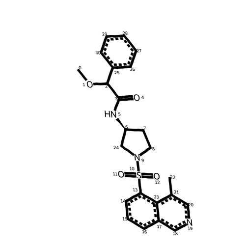 COC(C(=O)N[C@H]1CCN(S(=O)(=O)c2cccc3cncc(C)c23)C1)c1ccccc1